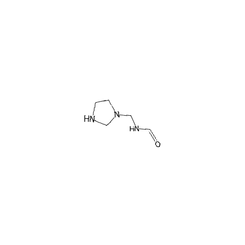 O=CNCN1CCNC1